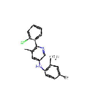 CCc1ccc(Nc2cnc(-c3ccccc3Cl)c(C)c2)c(C(=O)O)c1